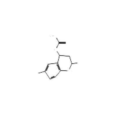 CCC1CC(NC(=O)OC)c2cc(C(F)(F)F)ccc2N1